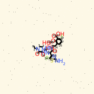 CCN1CCN(C(O)NC(C(=O)N[C@H]2Cc3ccc(F)c(C(=O)O)c3OB2O)c2nc(N)sc2F)C(=O)C1=O